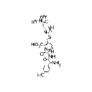 CCCN(CCC)C(=O)Cc1nc(SCC2=C(C(=O)O)N3C(=O)C(NC(=O)C(N)c4ccc(O)cc4)[C@@H]3SC2)n[nH]1